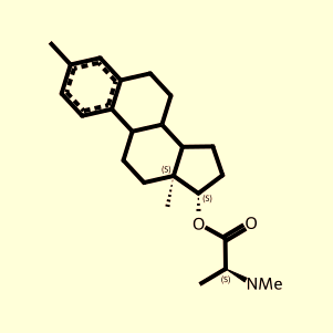 CN[C@@H](C)C(=O)O[C@H]1CCC2C3CCc4cc(C)ccc4C3CC[C@@]21C